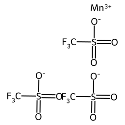 O=S(=O)([O-])C(F)(F)F.O=S(=O)([O-])C(F)(F)F.O=S(=O)([O-])C(F)(F)F.[Mn+3]